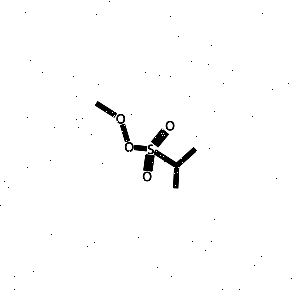 COOS(=O)(=O)C(C)C